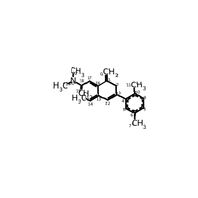 C=C1CC(c2cc(C)ccc2C)=CC(=C/C)/C1=C\C(=C)N(C)C